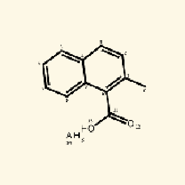 Cc1ccc2ccccc2c1C(=O)O.[AlH3]